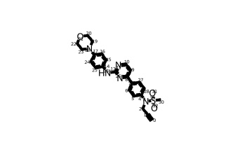 C#CCN(c1ccc(-c2ccnc(Nc3ccc(N4CCOCC4)cc3)n2)cc1)S(C)(=O)=O